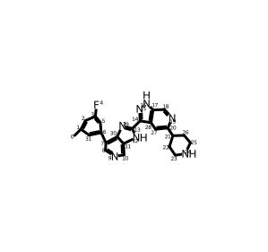 Cc1cc(F)cc(-c2cncc3[nH]c(-c4n[nH]c5cnc(C6CCNCC6)cc45)nc23)c1